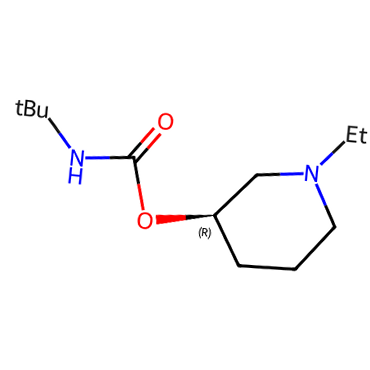 CCN1CCC[C@@H](OC(=O)NC(C)(C)C)C1